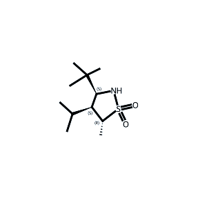 CC(C)[C@@H]1[C@@H](C)S(=O)(=O)N[C@@H]1C(C)(C)C